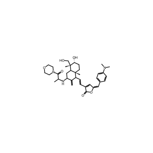 C=C1C(NC(C)C(=O)N2CCOCC2)CC2[C@](C)(CC[C@@H](O)[C@@]2(C)CO)C1/C=C/C1=CC(=C\c2ccc(N(C)C)cc2)/OC1=O